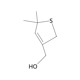 CC1(C)C=C(CO)CS1